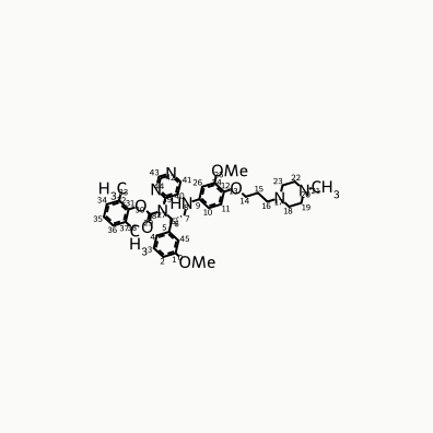 COc1cccc([C@@H](CNc2ccc(OCCCN3CCN(C)CC3)c(OC)c2)N(C(=O)Oc2c(C)cccc2C)c2ccncn2)c1